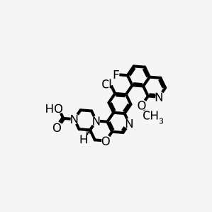 COc1nccc2ccc(F)c(-c3cc4ncc5c(c4cc3Cl)N3CCN(C(=O)O)C[C@@H]3CO5)c12